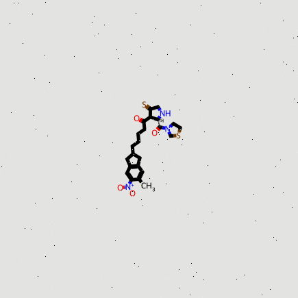 Cc1cc2c(cc1[N+](=O)[O-])CC(CCCCC(=O)C1C(=S)CN[C@@H]1C(=O)N1CCSC1)C2